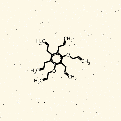 C=CCOc1c(CC=C)c(CC=C)c(CC=C)c(OCC=C)c1CC=C